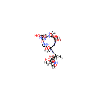 CC[C@H]1C[C@H](C)[C@@]2(NC1=O)O[C@@H](C[C@H](O)[C@@H](C)CC/C=C/C=C(\C)[C@@H]1C/C=C/C=C/[C@H](O)[C@H](C)[C@@H](O)[C@@H](CCC(C)=O)C(=O)N[C@@H](C(C)C)C(O)N[C@@H](Cc3cccc(O)n3)C(=O)N3CCCC(N3)C(=O)O1)[C@H](C)[C@H](O)[C@@H]2C